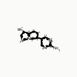 CC(C)(C)c1cnn2cc(-c3cnc(N)nc3)ccc12